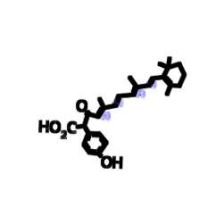 CC1=C(/C=C/C(C)=C/C=C/C(C)=C/C(=O)C(C(=O)O)c2ccc(O)cc2)C(C)(C)CCC1